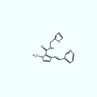 Cn1ncc(/N=C/c2cccnc2)c1C(=O)NCc1ccco1